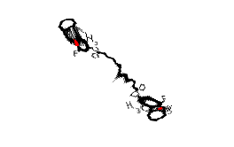 C[C@@]12CCCCCC(Cc3c(F)cc(OC(=O)CCCCCCCCCCC(=O)Oc4cc(F)c5c(c4)[C@@]4(C)CCCCC[C@@H](C5)[C@@H]4N)cc31)[C@@H]2N